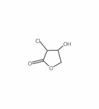 O=C1OCC(O)C1Cl